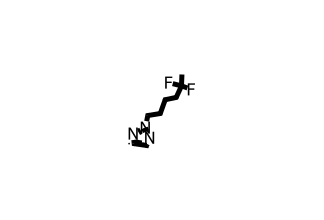 CC(F)(F)CCCCn1n[c]cn1